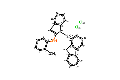 Cc1ccccc1PC1=Cc2ccccc2[CH]1[Zr+2][c]1cccc2c1Cc1ccccc1-2.[Cl-].[Cl-]